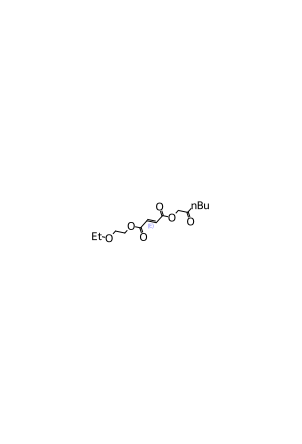 CCCCC(=O)COC(=O)/C=C/C(=O)OCCOCC